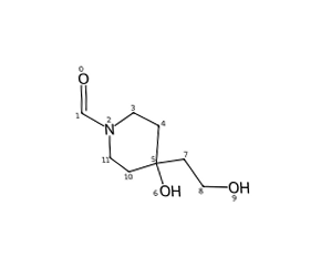 O=CN1CCC(O)(CCO)CC1